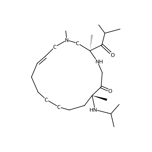 CC(C)N[C@]1(C)CCCCCC/C=C/CN(C)C[C@@](C)(C(=O)C(C)C)NCC1=O